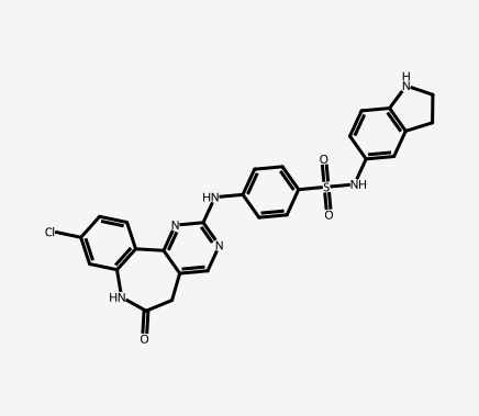 O=C1Cc2cnc(Nc3ccc(S(=O)(=O)Nc4ccc5c(c4)CCN5)cc3)nc2-c2ccc(Cl)cc2N1